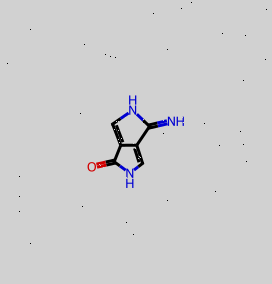 N=C1NC=C2C(=O)NC=C12